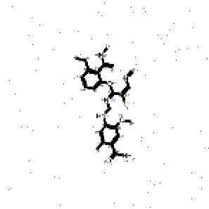 C=N/C=C(Cl)\C(=N/CNc1cc(C)c(C(N)=O)cc1OC)Oc1cccc(CC)c1C(=C)NC